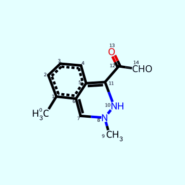 Cc1cccc2c1=CN(C)NC=2C(=O)C=O